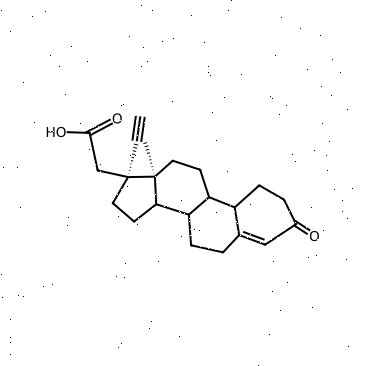 C#C[C@@]1(CC(=O)O)CCC2C3CCC4=CC(=O)CCC4C3CC[C@@]21C